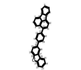 c1ccc2c(c1)-c1cccc3c(-c4ccc(-c5ccc6oc7ccccc7c6c5)cc4)ccc-2c13